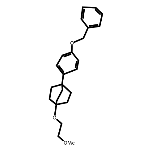 COCCOC12CCC(c3ccc(OCc4ccccc4)cc3)(CC1)CC2